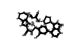 C=CC(=O)N[C@@H]1CCN(c2n[nH]c3nccc(-c4ccc([C@@H](C)NC(=O)c5nc6c(s5)CCCC6)c(F)c4)c23)C1